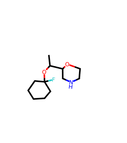 CC(OC1(F)CCCCC1)C1CNCCO1